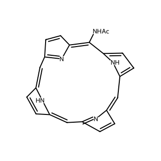 CC(=O)Nc1c2nc(cc3ccc(cc4nc(cc5ccc1[nH]5)C=C4)[nH]3)C=C2